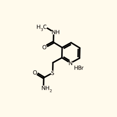 Br.CNC(=O)c1cccnc1CSC(N)=O